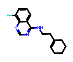 Fc1cccc2c(NCCC3=CCCCC3)ncnc12